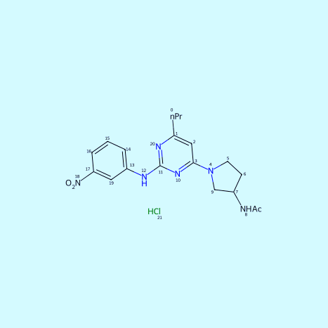 CCCc1cc(N2CCC(NC(C)=O)C2)nc(Nc2cccc([N+](=O)[O-])c2)n1.Cl